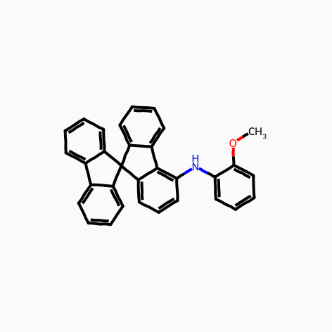 COc1ccccc1Nc1cccc2c1-c1ccccc1C21c2ccccc2-c2ccccc21